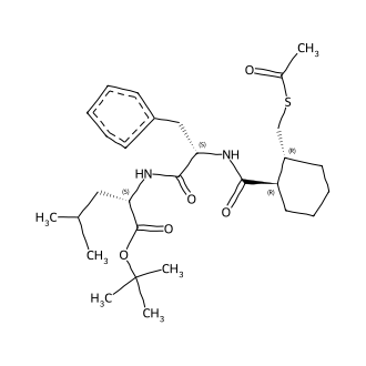 CC(=O)SC[C@@H]1CCCC[C@H]1C(=O)N[C@@H](Cc1ccccc1)C(=O)N[C@@H](CC(C)C)C(=O)OC(C)(C)C